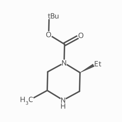 CC[C@H]1CNC(C)CN1C(=O)OC(C)(C)C